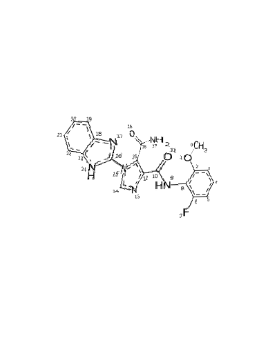 COc1cccc(F)c1NC(=O)c1ncn(-c2nc3ccccc3[nH]2)c1C(N)=O